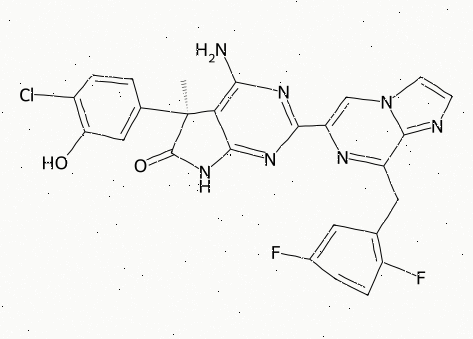 C[C@@]1(c2ccc(Cl)c(O)c2)C(=O)Nc2nc(-c3cn4ccnc4c(Cc4cc(F)ccc4F)n3)nc(N)c21